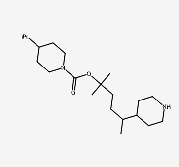 CC(C)C1CCN(C(=O)OC(C)(C)CCC(C)C2CCNCC2)CC1